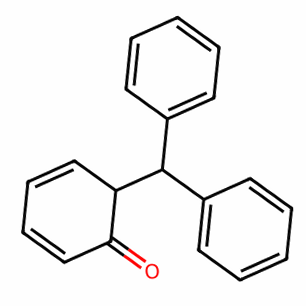 O=C1C=CC=CC1C(c1ccccc1)c1ccccc1